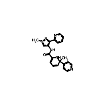 Cn1cc(NC(=O)C2=CC=CC(C)(c3ccncc3)N2)c(-c2ccccn2)n1